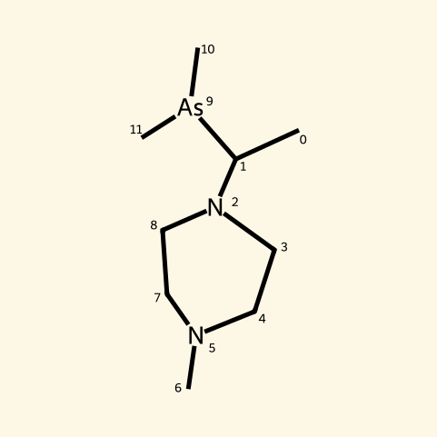 CC(N1CCN(C)CC1)[As](C)C